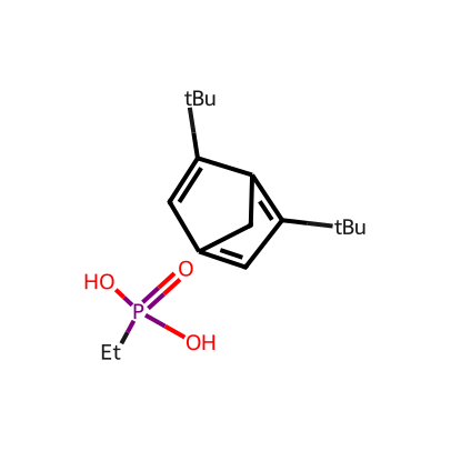 CC(C)(C)C1=CC2=CC(C(C)(C)C)=C1C2.CCP(=O)(O)O